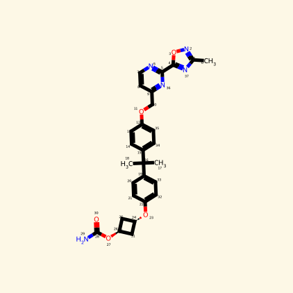 Cc1noc(-c2nccc(COc3ccc(C(C)(C)c4ccc(O[C@H]5C[C@H](OC(N)=O)C5)cc4)cc3)n2)n1